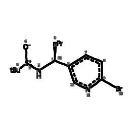 CCC[C@H](N[S+]([O-])C(C)(C)C)c1ccc(Br)nc1